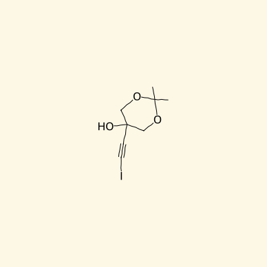 CC1(C)OCC(O)(C#CI)CO1